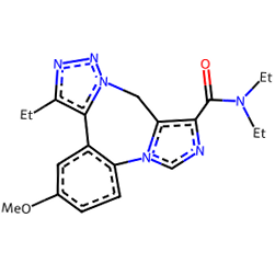 CCc1nnn2c1-c1cc(OC)ccc1-n1cnc(C(=O)N(CC)CC)c1C2